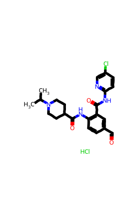 CC(C)N1CCC(C(=O)Nc2ccc(C=O)cc2C(=O)Nc2ccc(Cl)cn2)CC1.Cl